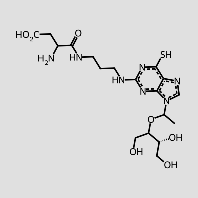 CC(OC(CO)[C@H](O)CO)n1cnc2c(S)nc(NCCCNC(=O)C(N)CC(=O)O)nc21